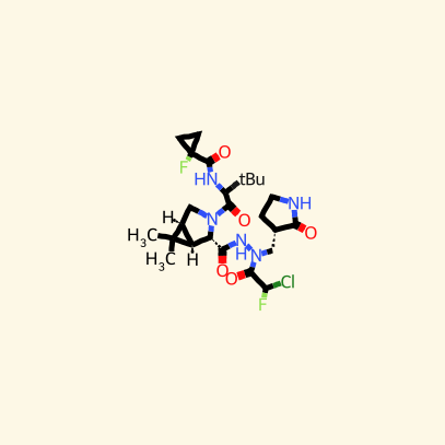 CC(C)(C)C(NC(=O)C1(F)CC1)C(=O)N1C[C@H]2[C@@H]([C@H]1C(=O)NN(C[C@@H]1CCNC1=O)C(=O)C(F)Cl)C2(C)C